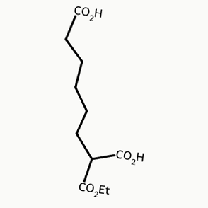 CCOC(=O)C(CCCCCC(=O)O)C(=O)O